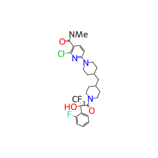 CNC(=O)c1ccc(N2CCC(CC3CCN(C(=O)[C@](O)(c4ccccc4F)C(F)(F)F)CC3)CC2)nc1Cl